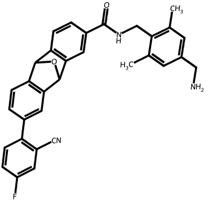 Cc1cc(CN)cc(C)c1CNC(=O)c1ccc2c(c1)C1OC2c2ccc(-c3ccc(F)cc3C#N)cc21